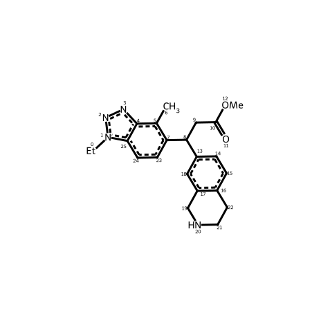 CCn1nnc2c(C)c(C(CC(=O)OC)c3ccc4c(c3)CNCC4)ccc21